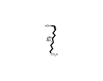 CCCCCCCC/C=C\CCCCCCCC(=O)O.CCC[CH2][AlH2]